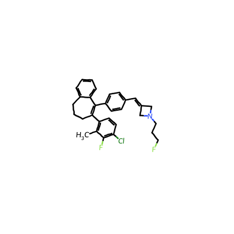 Cc1c(C2=C(c3ccc(C=C4CN(CCCF)C4)cc3)c3ccccc3CCC2)ccc(Cl)c1F